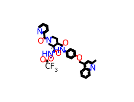 Cc1cc(COc2ccc(NC(=O)C3CCN(C(=O)c4ccccn4)C[C@@H]3C(=O)NOC(=O)C(F)(F)F)cc2)c2ccccc2n1